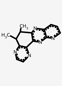 CC1c2nccnc2-c2nc3ncccc3nc2C1C